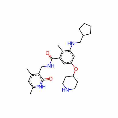 Cc1cc(C)c(CNC(=O)c2cc(OC3CCNCC3)cc(NCC3CCCC3)c2C)c(=O)[nH]1